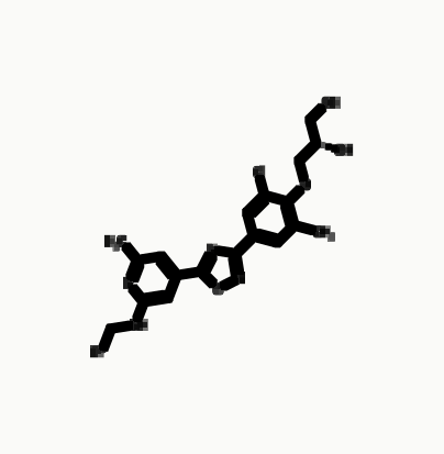 Cc1cc(-c2nc(-c3cc(C)c(OC[C@@H](O)CO)c(Cl)c3)no2)cc(NCC(C)C)n1